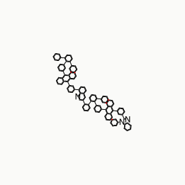 c1ccc(-c2cccc(-c3ccccc3)c2-c2cccc(-c3c4ccccc4c(-c4cccc(-c5cccc6cc(-c7ccccc7-c7cccc(-c8ccccc8)c7-c7cccc(-c8c9ccccc9c(-c9cccc(-c%10nc%11ccccc%11n%10-c%10ccccc%10)c9)c9ccccc89)c7)cnc56)c4)c4ccccc34)c2)cc1